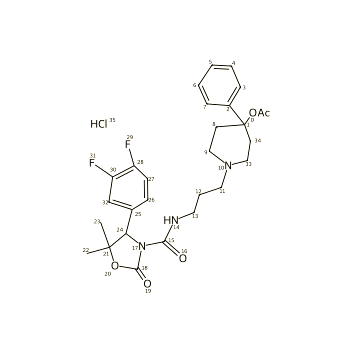 CC(=O)OC1(c2ccccc2)CCN(CCCNC(=O)N2C(=O)OC(C)(C)C2c2ccc(F)c(F)c2)CC1.Cl